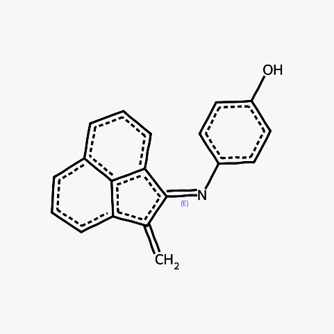 C=c1/c(=N/c2ccc(O)cc2)c2cccc3cccc1c32